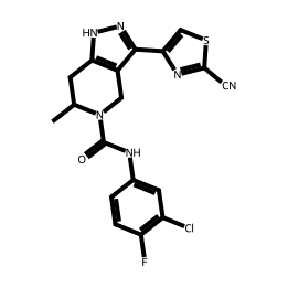 CC1Cc2[nH]nc(-c3csc(C#N)n3)c2CN1C(=O)Nc1ccc(F)c(Cl)c1